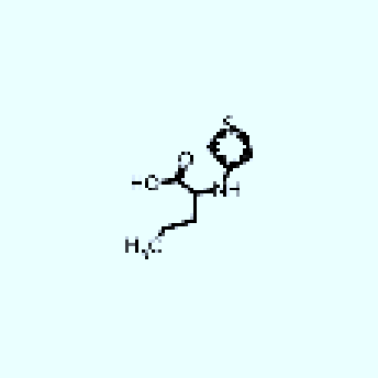 CCCC(Nc1ccsc1)C(=O)O